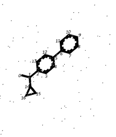 CC(c1ccc(-c2ccccc2)cc1)C1CC1